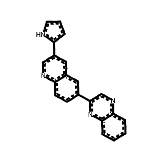 c1c[nH]c(-c2cnc3ccc(-c4cnc5ccccc5n4)cc3c2)c1